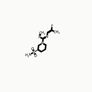 C=N/C(=N\C=C(/C)F)N1CCC[C@@H](S(N)(=O)=O)C1